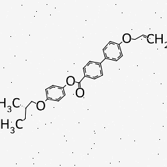 C=CCOc1ccc(-c2ccc(C(=O)Oc3ccc(OC[C@@H](C)CC)cc3)cc2)cc1